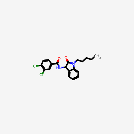 CCCCCN1C(=O)C(NC(=O)c2ccc(Cl)c(Cl)c2)c2ccccc21